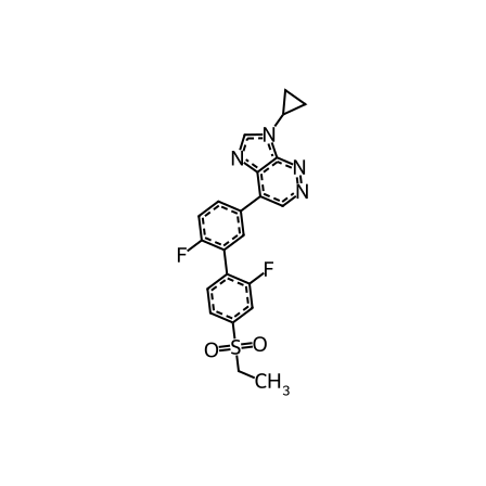 CCS(=O)(=O)c1ccc(-c2cc(-c3cnnc4c3ncn4C3CC3)ccc2F)c(F)c1